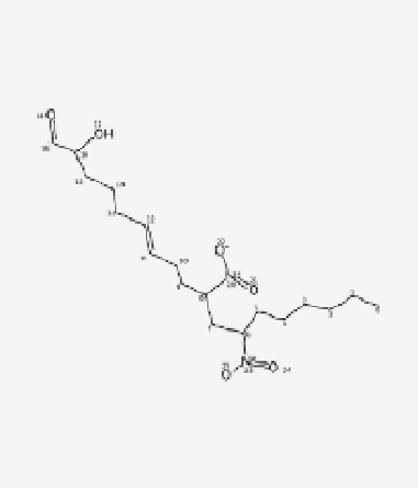 CCCCCCC(CC(CCC=CCCCC(O)[C]=O)[N+](=O)[O-])[N+](=O)[O-]